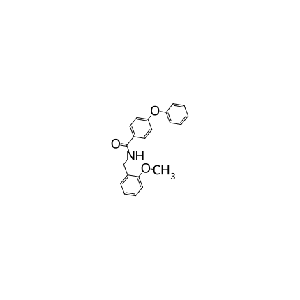 COc1ccccc1CNC(=O)c1ccc(Oc2ccccc2)cc1